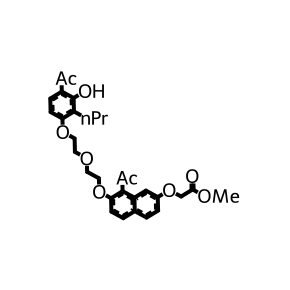 CCCc1c(OCCOCCOc2ccc3ccc(OCC(=O)OC)cc3c2C(C)=O)ccc(C(C)=O)c1O